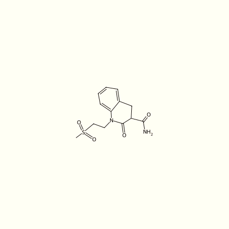 CS(=O)(=O)CCN1C(=O)C(C(N)=O)Cc2ccccc21